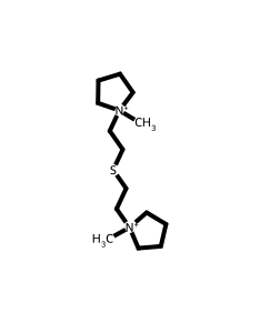 C[N+]1(CCSCC[N+]2(C)CCCC2)CCCC1